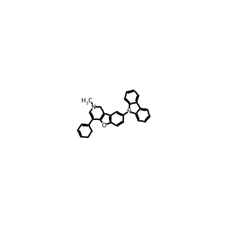 CN1C=C(C2=CC=CCC2)c2oc3ccc(-n4c5ccccc5c5ccccc54)cc3c2C1